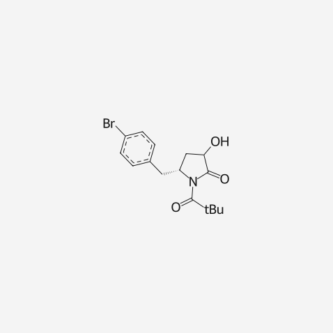 CC(C)(C)C(=O)N1C(=O)C(O)C[C@H]1Cc1ccc(Br)cc1